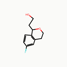 OCCC1OCCc2cc(F)ccc21